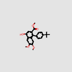 COC(=O)c1cc(O)c2cc(OC)c(OC)cc2c1-c1ccc(C(C)(C)C)cc1